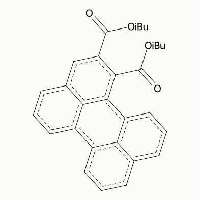 CC(C)COC(=O)c1cc2cccc3c4cccc5cccc(c(c1C(=O)OCC(C)C)c23)c54